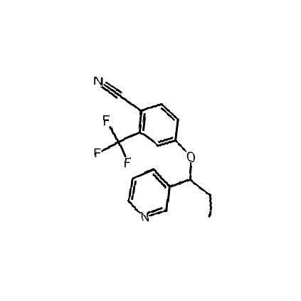 CCC(Oc1ccc(C#N)c(C(F)(F)F)c1)c1cccnc1